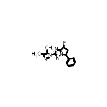 Cc1ncn(-c2nc3n(n2)C(c2ccccc2)CC3F)c1C